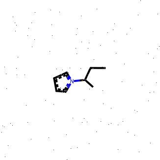 CCC(C)n1[c]ccc1